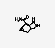 NC(=O)C1=C2NNCC2CC2C=C12